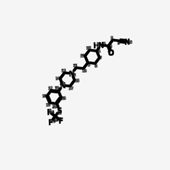 N#CCC(=O)NC1CCC(CCN2CCN(c3cccc(SC(F)(F)F)c3)CC2)CC1